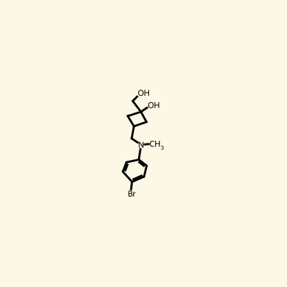 CN(CC1CC(O)(CO)C1)c1ccc(Br)cc1